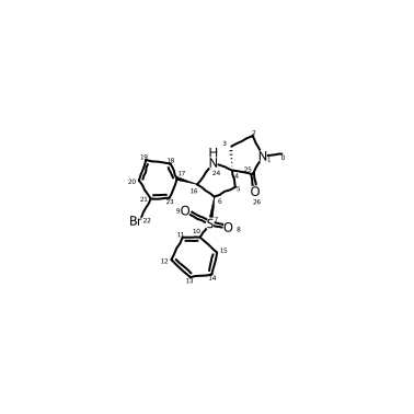 CN1CC[C@@]2(C[C@@H](S(=O)(=O)c3ccccc3)[C@@H](c3cccc(Br)c3)N2)C1=O